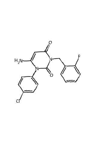 Nc1cc(=O)n(Cc2ccccc2F)c(=O)n1-c1ccc(Cl)cc1